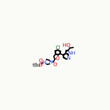 CC(O)c1cc2c(-c3cc(Cl)cc4c3OC(C(=O)N3CCN(C(=O)OC(C)(C)C)CC3)C4)ccnc2[nH]1